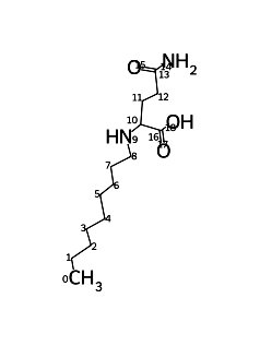 CCCCCCCCCNC(CCC(N)=O)C(=O)O